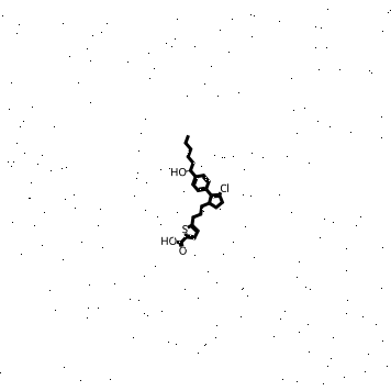 CCCCC[C@@H](O)c1ccc(C2=C(Cl)CCC2CCCc2ccc(C(=O)O)s2)cc1